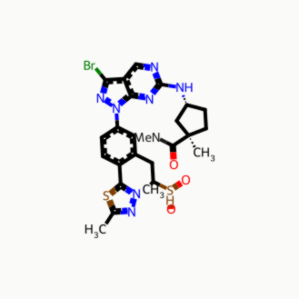 CNC(=O)[C@]1(C)CC[C@@H](Nc2ncc3c(Br)nn(-c4ccc(-c5nnc(C)s5)c(CC(C)[SH](=O)=O)c4)c3n2)C1